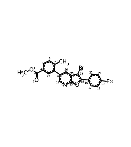 COC(=O)c1ccc(C)c(-c2cnc3oc(-c4ccc(F)cc4)c(Br)c3c2)c1